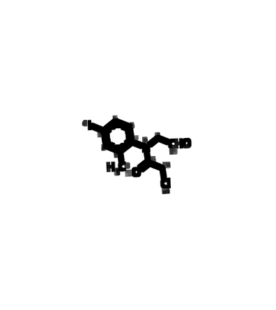 Cc1cc(I)ccc1N(CC=O)C(=O)CCl